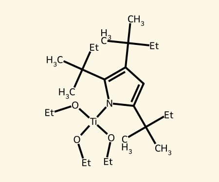 CC[O][Ti]([O]CC)([O]CC)[n]1c(C(C)(C)CC)cc(C(C)(C)CC)c1C(C)(C)CC